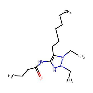 CCCCCCC1=C(NC(=O)CCC)NN(CC)N1CC